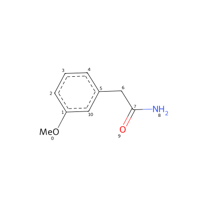 COc1cccc(CC(N)=O)c1